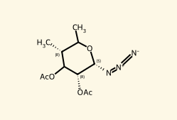 CC(=O)OC1[C@H](C)C(C)O[C@H](N=[N+]=[N-])[C@@H]1OC(C)=O